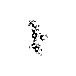 CC(C)CC(N)C(=O)O.COC(=O)CCC(NC(=O)c1ccc(NC[C@H]2CNc3nc(N)[nH]c(=O)c3N2)cc1)C(=O)O